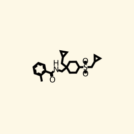 Cc1ccccc1C(=O)NCC1(CC2CC2)CCC(S(=O)(=O)CC2CC2)CC1